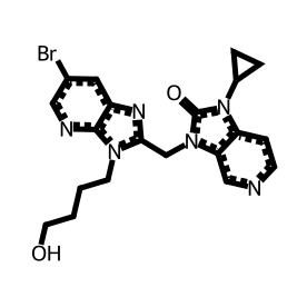 O=c1n(Cc2nc3cc(Br)cnc3n2CCCCO)c2cnccc2n1C1CC1